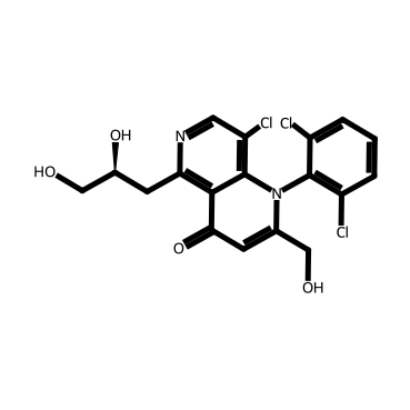 O=c1cc(CO)n(-c2c(Cl)cccc2Cl)c2c(Cl)cnc(C[C@H](O)CO)c12